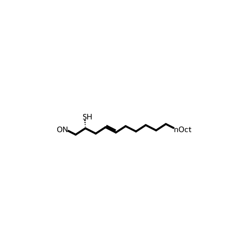 CCCCCCCCCCCCC/C=C/C[C@@H](S)CN=O